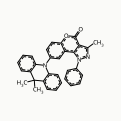 Cc1nn(-c2ccccc2)c2c1c(=O)oc1ccc(N3c4ccccc4C(C)(C)c4ccccc43)cc12